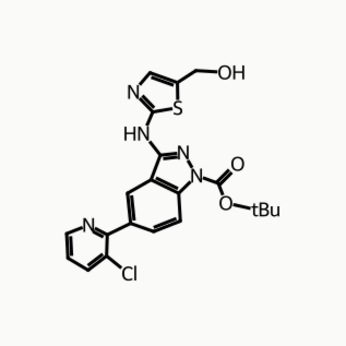 CC(C)(C)OC(=O)n1nc(Nc2ncc(CO)s2)c2cc(-c3ncccc3Cl)ccc21